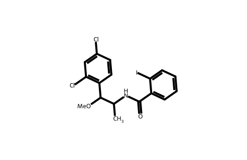 COC(c1ccc(Cl)cc1Cl)C(C)NC(=O)c1ccccc1I